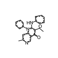 CC(=O)c1c(Nc2ccccc2)n(-c2ccccc2)c2cc(C)ncc2c1=O